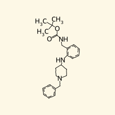 CC(C)(C)OC(=O)NCc1ccccc1NC1CCN(Cc2ccccc2)CC1